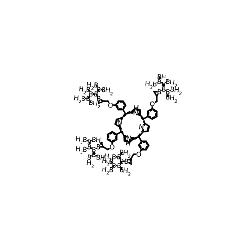 BB(B)B(B)B(B(B)B)B1CC1COc1cccc(-c2c3nc(c(-c4cccc(OCC5CB5B(B(B)B)B(B)B(B)B)c4)c4ccc([nH]4)c(-c4cccc(OCC5CB5B(B(B)B)B(B)B(B)B)c4)c4nc(c(-c5cccc(OCC6CB6B(B(B)B)B(B)B(B)B)c5)c5ccc2[nH]5)C=C4)C=C3)c1